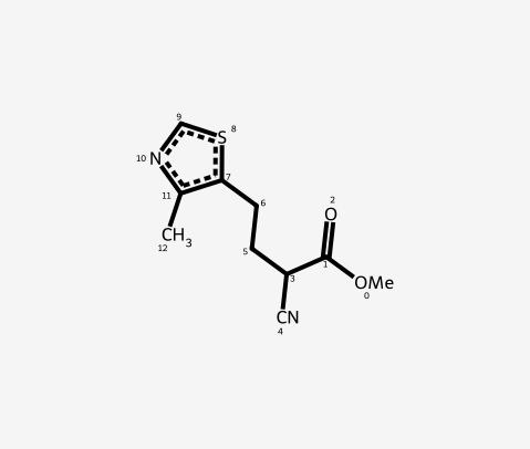 COC(=O)C(C#N)CCc1scnc1C